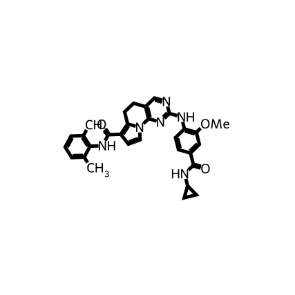 COc1cc(C(=O)NC2CC2)ccc1Nc1ncc2c(n1)-n1ccc(C(=O)Nc3c(C)cccc3C)c1CC2